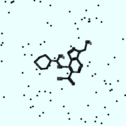 CCn1ncc2c(NC(C)C3CCCCC3)c(C(=O)O)cnc21